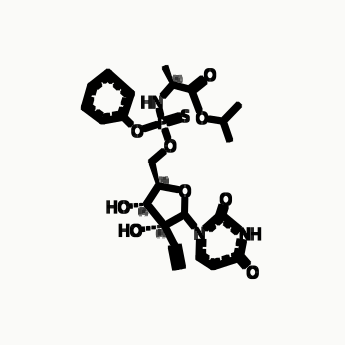 C#C[C@]1(O)C(n2ccc(=O)[nH]c2=O)O[C@H](COP(=S)(N[C@@H](C)C(=O)OC(C)C)Oc2ccccc2)[C@H]1O